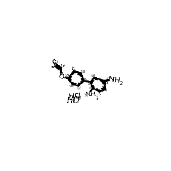 Cl.Cl.Nc1ccc(N)c(-c2ccc(OC=S)cc2)c1